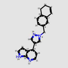 C1=Cc2cc(Cn3cc(-c4ccnc5[nH]ccc45)cn3)ccc2CC1